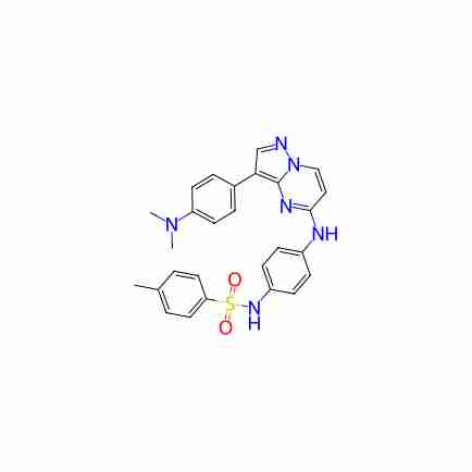 Cc1ccc(S(=O)(=O)Nc2ccc(Nc3ccn4ncc(-c5ccc(N(C)C)cc5)c4n3)cc2)cc1